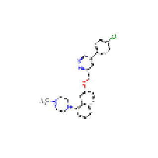 CN1CCN(c2cccc3ccc(OCc4cc(-c5ccc(Cl)cc5)cnn4)cc23)CC1